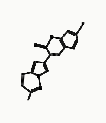 Cc1ccc2cc(-c3cc4ccc(F)cc4oc3=O)cn2n1